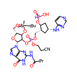 CC(C)C(=O)Nc1nc2c(ncn2[C@@H]2O[C@H](CO)[C@@H](O[Si](C)(C)C(C)(C)C)[C@H]2OP(=O)(OCCC#N)OC[C@H]2C[C@@H](Nc3ccncn3)C[C@@H]2O[PH](=O)O)c(=O)[nH]1